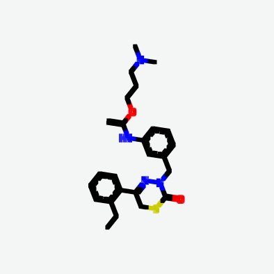 C=C(Nc1cccc(CN2N=C(c3ccccc3CC)CSC2=O)c1)OCCCN(C)C